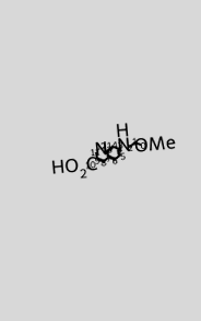 COCCNc1ccc2cc(C(=O)O)cnc2c1